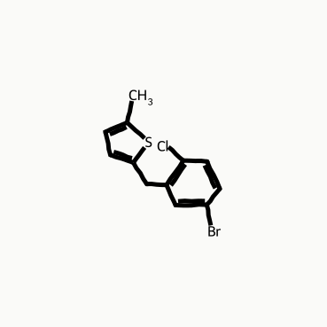 Cc1ccc(Cc2cc(Br)ccc2Cl)s1